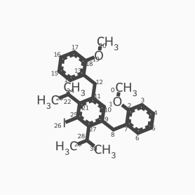 COc1ccccc1Cc1cc(Cc2ccccc2OC)c(C(C)C)c(I)c1C(C)C